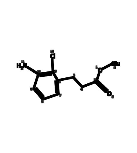 CC(C)(C)OC(=O)CCc1cccc(N)c1Cl